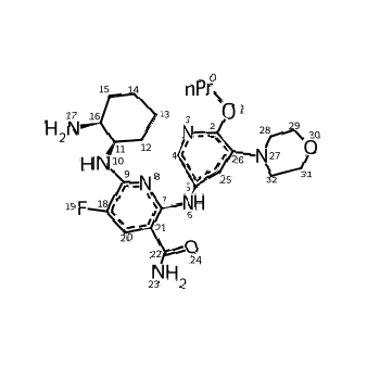 CCCOc1ncc(Nc2nc(N[C@@H]3CCCC[C@@H]3N)c(F)cc2C(N)=O)cc1N1CCOCC1